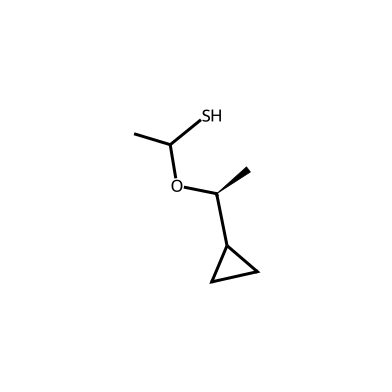 CC(S)O[C@@H](C)C1CC1